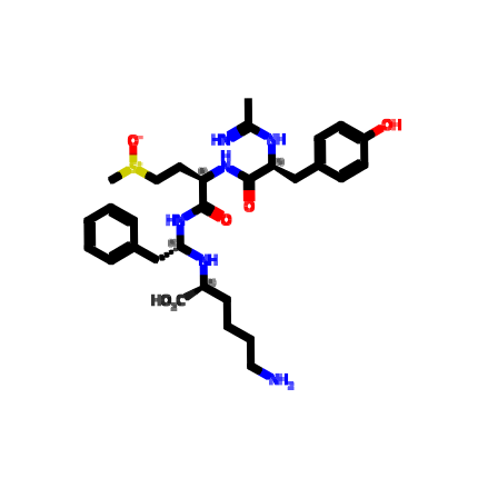 CC(=N)N[C@@H](Cc1ccc(O)cc1)C(=O)N[C@H](CC[S+](C)[O-])C(=O)N[C@@H](Cc1ccccc1)N[C@@H](CCCCN)C(=O)O